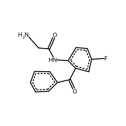 NCC(=O)Nc1ccc(F)cc1C(=O)c1ccccc1